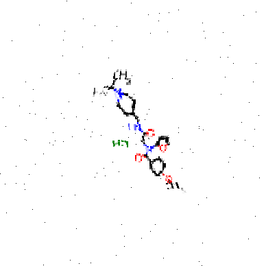 COc1ccc(C(=O)N(CC(=O)NCC2CCN(C(C)C)CC2)c2ccco2)cc1.Cl